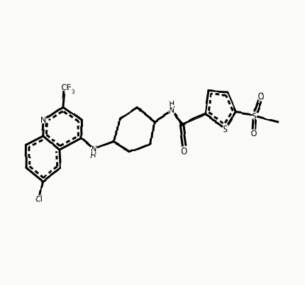 CS(=O)(=O)c1ccc(C(=O)NC2CCC(Nc3cc(C(F)(F)F)nc4ccc(Cl)cc34)CC2)s1